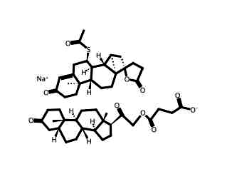 CC(=O)S[C@@H]1CC2=CC(=O)CC[C@]2(C)[C@H]2CC[C@@]3(C)[C@@H](CC[C@@]34CCC(=O)O4)[C@H]12.C[C@]12CCC(=O)C[C@H]1CC[C@@H]1[C@@H]2CC[C@]2(C)[C@@H](C(=O)COC(=O)CCC(=O)[O-])CC[C@@H]12.[Na+]